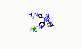 Cl.Cl.N[C@H]1C[C@H](c2nnc(-c3nccs3)n2-c2ccncc2)C1